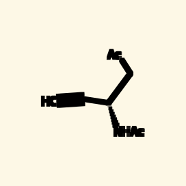 C#C[C@H](CC(C)=O)NC(C)=O